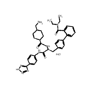 CCN(CC)C(=O)c1ccccc1-c1ccc(C[C@H](NC(=O)C2CCC(CN)CC2)C(=O)Nc2ccc(-c3nn[nH]n3)cc2)cc1.Cl